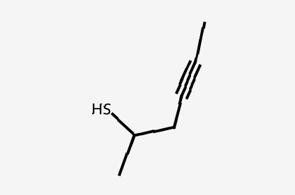 CC#CCC(C)S